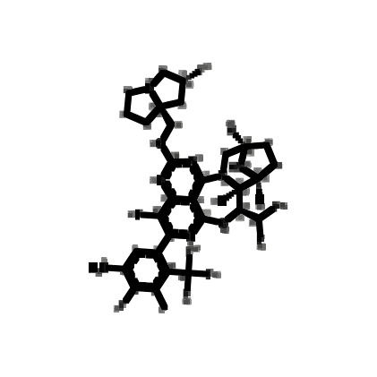 Cc1c(F)c(N)cc(-c2nc3c4c(nc(OC[C@@]56CCCN5C[C@H](F)C6)nc4c2F)N2C[C@H]4CC[C@H](N4)[C@H]2[C@@H](C(F)F)O3)c1C(F)(F)F